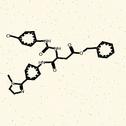 CN1CCN=C1c1ccc(NC(=O)C(CC(=O)OCc2ccccc2)NC(=O)Nc2ccc(Cl)cc2)cc1